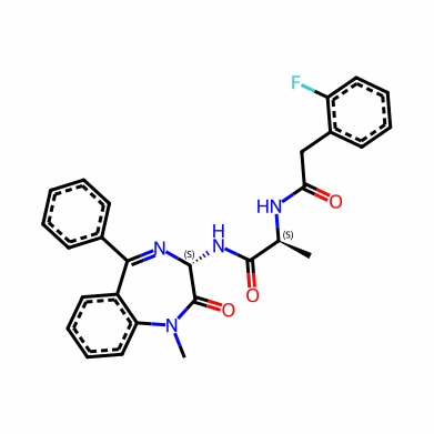 C[C@H](NC(=O)Cc1ccccc1F)C(=O)N[C@H]1N=C(c2ccccc2)c2ccccc2N(C)C1=O